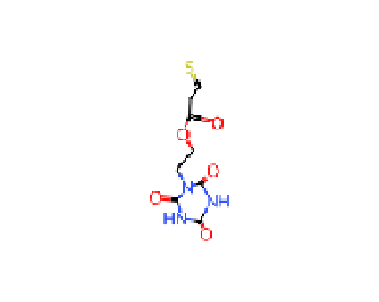 O=C(CC=S)OCCn1c(=O)[nH]c(=O)[nH]c1=O